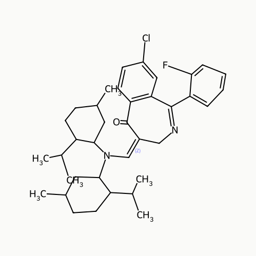 CC1CCC(C(C)C)C(N(/C=C2/CN=C(c3ccccc3F)c3cc(Cl)ccc3C2=O)C2CC(C)CCC2C(C)C)C1